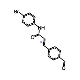 O=Cc1ccc(/C=C/C(=O)Nc2ccc(Br)cc2)cc1